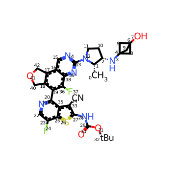 C[C@H]1[C@@H](NC23CC(O)(C2)C3)CCN1c1ncc2c3c(c(-c4ncc(F)c5sc(NC(=O)OC(C)(C)C)c(C#N)c45)c(F)c2n1)COC3